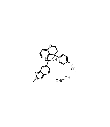 Cn1cc2ccc(C(=O)NC3(c4ccc(OC(F)(F)F)cc4)CCOc4cccnc43)cc2n1.O=CO